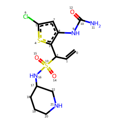 C=CC(c1sc(Cl)cc1NC(N)=O)S(=O)(=O)NC1CCCNC1